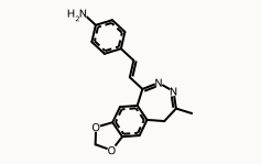 CC1=NN=C(C=Cc2ccc(N)cc2)c2cc3c(cc2C1)OCO3